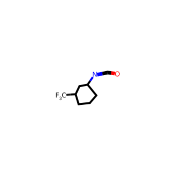 O=C=NC1CCCC(C(F)(F)F)C1